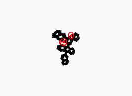 c1ccc2cc(-c3c4ccccc4c(-c4cc5c6ccccc6oc5c5c4oc4cc6ccccc6cc45)c4ccccc34)ccc2c1